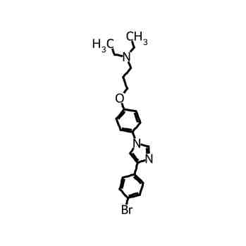 CCN(CC)CCCOc1ccc(-n2cnc(-c3ccc(Br)cc3)c2)cc1